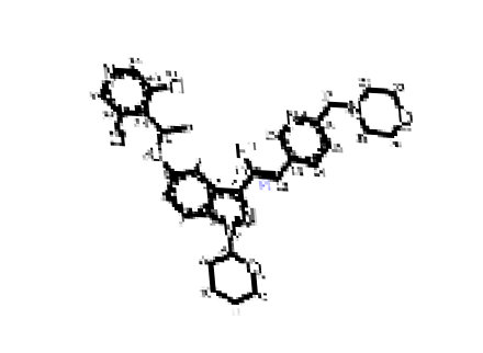 CC(Oc1ccc2c(c1)c(/C(F)=C/c1ccc(CN3CCOCC3)nc1)nn2C1CCCCO1)c1c(Cl)cncc1Cl